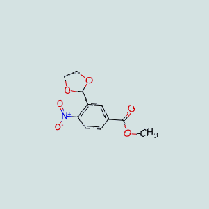 COC(=O)c1ccc([N+](=O)[O-])c(C2OCCO2)c1